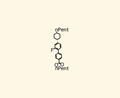 CCCCCOC(=O)c1ccc(-c2ccc([C@H]3CC[C@H](CCCCC)CC3)cc2F)cc1